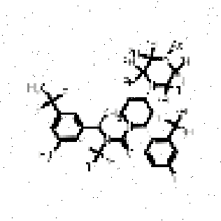 [2H]C([2H])([2H])c1cc(F)ccc1[C@H]1C[C@@H](N2C([2H])([2H])C([2H])([2H])N(C(C)=O)C([2H])([2H])C2([2H])[2H])CCN1C(=O)N([C@H](C)c1cc(C(C)(F)F)cc(C(F)(F)F)c1)C([2H])([2H])[2H]